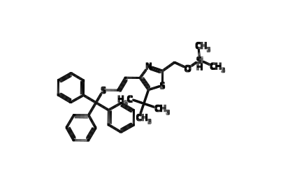 C[SiH](C)OCc1nc(C=CSC(c2ccccc2)(c2ccccc2)c2ccccc2)c(C(C)(C)C)s1